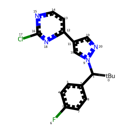 CC(C)(C)C(c1ccc(F)cc1)n1cc(-c2ccnc(Cl)n2)cn1